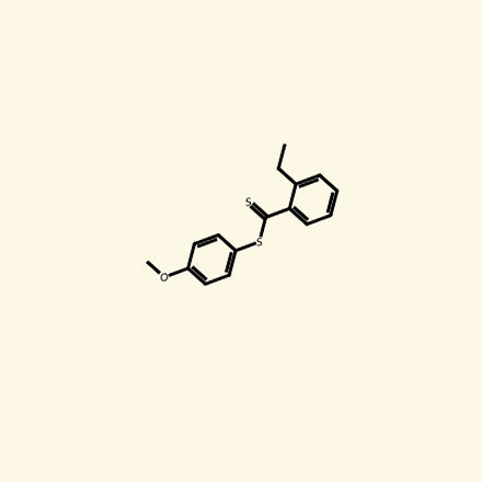 CCc1ccccc1C(=S)Sc1ccc(OC)cc1